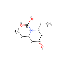 CCC1CC(=O)CC(CC)N1C(=O)O